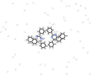 c1ccc(-c2nc(-c3cccc(-c4cccc(C5=Nc6c(ccc7ccccc67)C(c6ccccc6)N5)c4)c3)nc3c2ccc2ccccc23)cc1